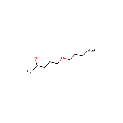 CCCCCCCCOCCCC(C)O